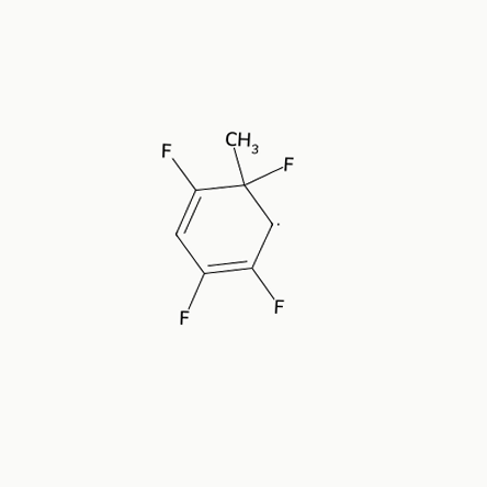 CC1(F)[CH]C(F)=C(F)C=C1F